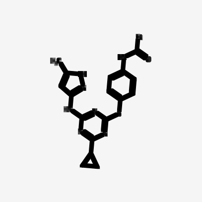 CCC(=O)Nc1ccc(Sc2nc(Nc3cc(C)[nH]n3)nc(C3CC3)n2)cc1